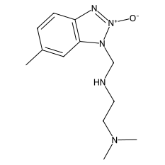 Cc1ccc2n[n+]([O-])n(CNCCN(C)C)c2c1